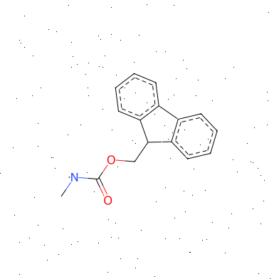 C[N]C(=O)OCC1c2ccccc2-c2ccccc21